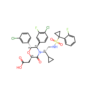 O=C(O)C[C@H]1O[C@H](c2cccc(Cl)c2)[C@@H](c2ccc(Cl)c(F)c2)N([C@H](CNS(=O)(=O)C2(c3ccccc3F)CC2)C2CC2)C1=O